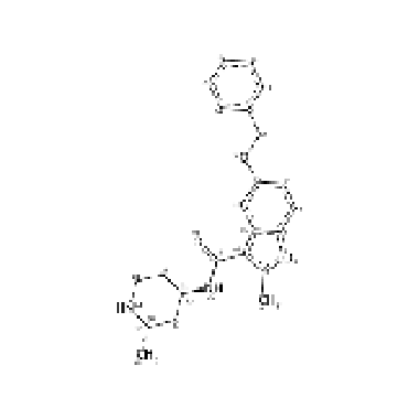 Cc1oc2ccc(OCc3ccccc3)cc2c1C(=O)N[C@@H]1CCN[C@@H](C)C1